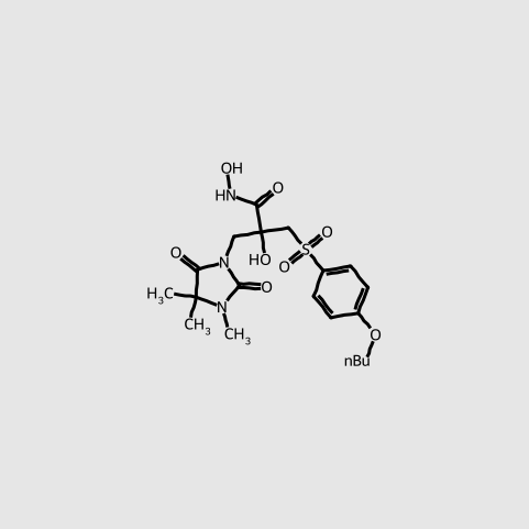 CCCCOc1ccc(S(=O)(=O)CC(O)(CN2C(=O)N(C)C(C)(C)C2=O)C(=O)NO)cc1